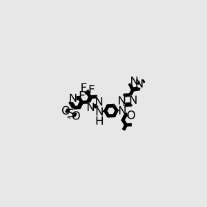 CC(C)CC(=O)N(c1cnc(-c2cnn(C)c2)cn1)[C@H]1CC[C@H](Nc2ncc(C(F)(F)F)c(-c3cncc(S(C)(=O)=O)c3)n2)CC1